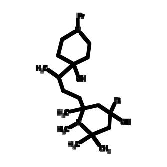 CCC1(O)CC(C)(C)N(C)C(C)(CCC(C)C2(O)CCN(C(C)C)CC2)C1